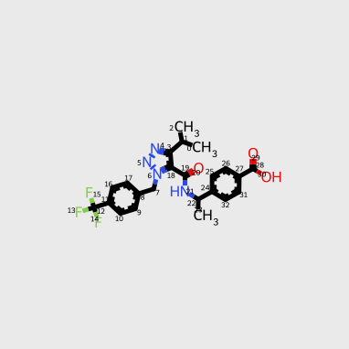 CC(C)c1nnn(Cc2ccc(C(F)(F)F)cc2)c1C(=O)NC(C)c1ccc(C(=O)O)cc1